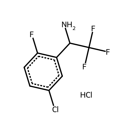 Cl.NC(c1cc(Cl)ccc1F)C(F)(F)F